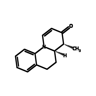 C[C@H]1C(=O)C=CN2c3ccccc3CC[C@H]12